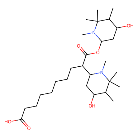 CC1C(O)CC(OC(=O)C(CCCCCCCC(=O)O)C2CC(O)C(C)C(C)(C)N2C)N(C)C1(C)C